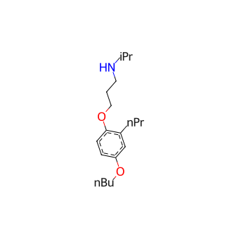 CCCCOc1ccc(OCCCNC(C)C)c(CCC)c1